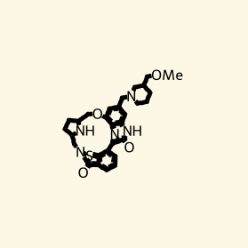 COCC1CCCN(Cc2cc3c4nc(c(=O)[nH]c4c2)-c2cccc4c(=O)n(sc24)CC2CCC(CO3)N2)C1